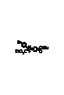 CCOC(=O)c1sc(N2CCN(C(=O)OC(C)(C)C)CC2)nc1-c1ccc(Br)cc1